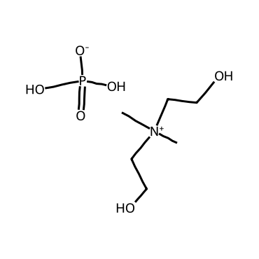 C[N+](C)(CCO)CCO.O=P([O-])(O)O